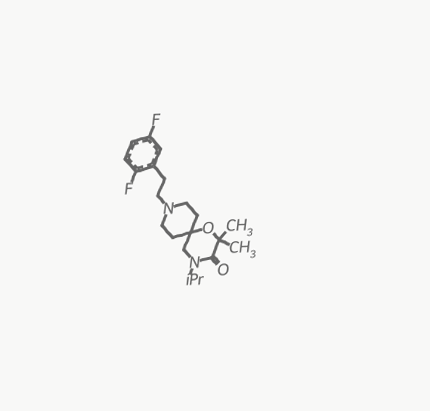 CC(C)N1CC2(CCN(CCc3cc(F)ccc3F)CC2)OC(C)(C)C1=O